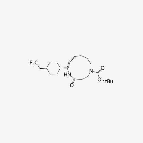 CC(C)(C)OC(=O)N1CCCC=C=C([C@H]2CC[C@H](CC(F)(F)F)CC2)NC(=O)CC1